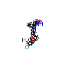 C[C@]1(c2ccc(Cl)cc2F)Oc2cccc(C3CCN(Cc4ncc(-c5noc(=O)[nH]5)cc4CC4(C#N)CC4)CC3)c2O1